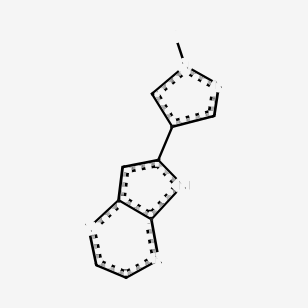 Cn1cc(-c2cc3nccnc3[nH]2)cn1